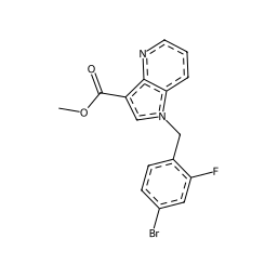 COC(=O)c1cn(Cc2ccc(Br)cc2F)c2cccnc12